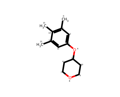 Cc1cc(OC2CCOCC2)cc(C)c1C